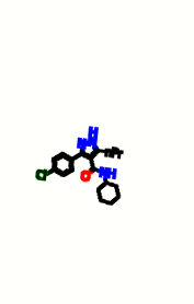 CCCc1[nH]nc(-c2ccc(Cl)cc2)c1C(=O)NC1CCCCC1